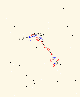 CCCCNC(=O)CNC(=O)C(NC(=O)CCOCCOCCOCCOCCNC(=O)CCN1C(=O)C=CC1=O)C(C)C